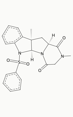 CN1CC(=O)N2[C@@H](C[C@]3(C)c4ccccc4N(S(=O)(=O)c4ccccc4)[C@H]23)C1=O